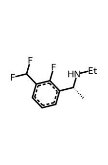 CCN[C@H](C)c1cccc(C(F)F)c1F